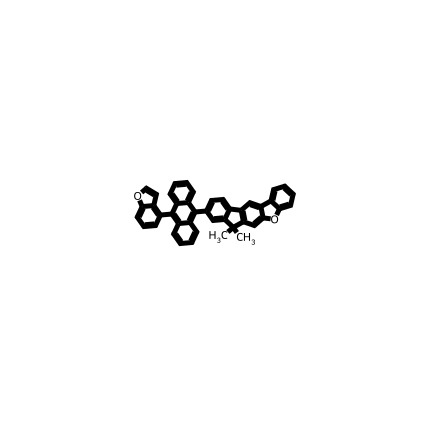 CC1(C)c2cc(-c3c4ccccc4c(-c4cccc5occc45)c4ccccc34)ccc2-c2cc3c(cc21)oc1ccccc13